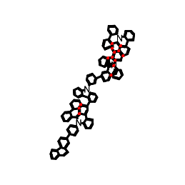 c1ccc(-c2ccccc2N(c2ccc(-c3ccc4c(ccc5ccc(-c6cccc(-n7c8ccccc8c8c(-c9cccc(-c%10ccccc%10N(c%10ccc(-c%11ccc%12c(ccc%13ccccc%13%12)c%11)cc%10)c%10cc%11ccccc%11c%11ccccc%10%11)c9)cccc87)c6)cc54)c3)cc2)c2ccccc2-c2cccc(-c3cccc4c3c3ccccc3n4-c3ccccc3)c2)cc1